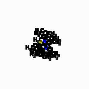 Cc1cc2c(cc1N1c3cc(C(C)(C)C)cc4c3B(c3c1sc1cc5c(cc31)C(C)(C)CCC5(C)C)N(c1ccc3c(c1)C(C)(C)CCC3(C)C)c1cc(C(C)(C)C)ccc1-4)C(C)(C)CCC2(C)C